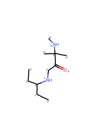 CCC(CC)NCC(=O)C(C)(C)NC